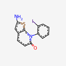 Nc1cc2ccc(=O)n(-c3ccccc3I)c2s1